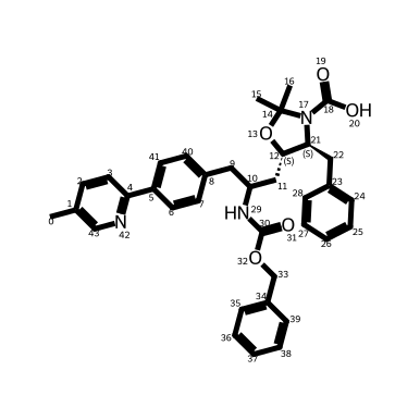 Cc1ccc(-c2ccc(CC(C[C@@H]3OC(C)(C)N(C(=O)O)[C@H]3Cc3ccccc3)NC(=O)OCc3ccccc3)cc2)nc1